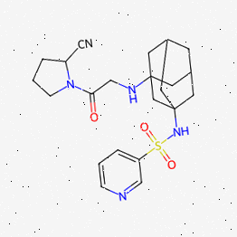 N#CC1CCCN1C(=O)CNC12CC3CC(C1)CC(NS(=O)(=O)c1cccnc1)(C3)C2